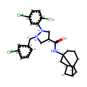 O=C(NC12CCCC3CC(CC3C1)C2)C1CN(Cc2cccc(Cl)c2)N(c2cc(Cl)ccc2Cl)C1